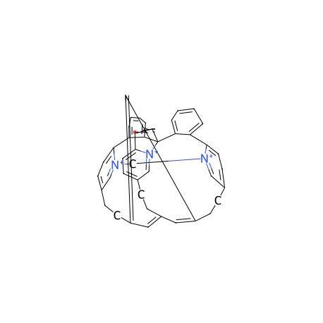 c1ccc2c(c1)-c1ccc3c[n+]1C[n+]1cc4ccc1-c1ccccc1C21c2ccccc2-c2ccc(c[n+]21)CCc1cc(cc(c1)CC4)CC3